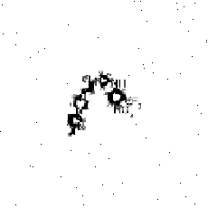 Cc1ccc(N2CCN(CCC(=O)N3CC[C@@H](Nc4ccc([N+](=O)[O-])c(C(F)(F)F)c4)C3)CC2)cn1